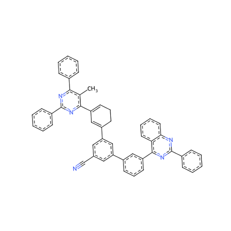 Cc1c(C2=CCCC(c3cc(C#N)cc(-c4cccc(-c5nc(-c6ccccc6)nc6ccccc56)c4)c3)=C2)nc(-c2ccccc2)nc1-c1ccccc1